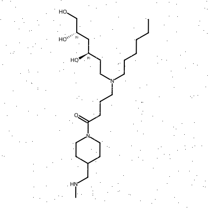 CCCCCCN(CCCC(=O)N1CCC(CNC)CC1)CC[C@@H](O)C[C@H](O)CO